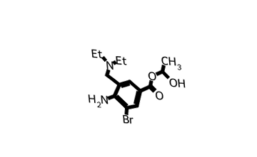 CCN(CC)Cc1cc(C(=O)OC(C)O)cc(Br)c1N